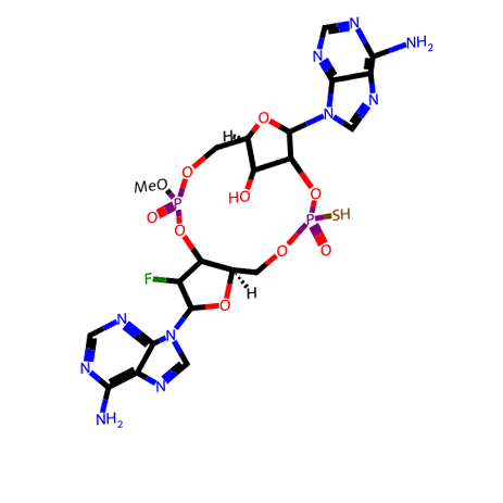 COP1(=O)OC[C@H]2OC(n3cnc4c(N)ncnc43)C(OP(=O)(S)OC[C@H]3OC(n4cnc5c(N)ncnc54)C(F)C3O1)C2O